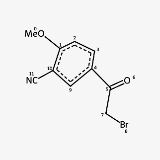 COc1ccc(C(=O)CBr)cc1C#N